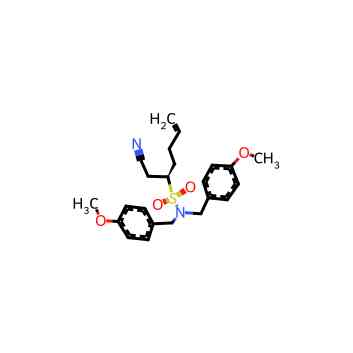 C=CCC[C@H](CC#N)S(=O)(=O)N(Cc1ccc(OC)cc1)Cc1ccc(OC)cc1